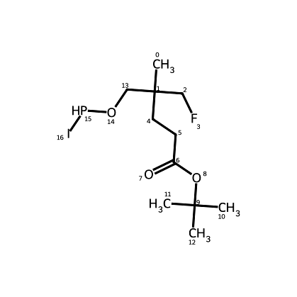 CC(CF)(CCC(=O)OC(C)(C)C)COPI